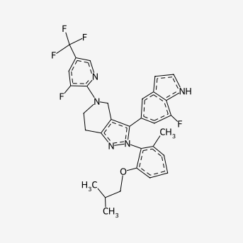 Cc1cccc(OCC(C)C)c1-n1nc2c(c1-c1cc(F)c3[nH]ccc3c1)CN(c1ncc(C(F)(F)F)cc1F)CC2